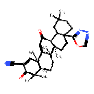 CC1(C)CC[C@]2(c3nnco3)CC[C@]3(C)C(C(=O)C=C4[C@@]5(C)C=C(C#N)C(=O)C(C)(C)[C@@H]5CC[C@]43C)C2C1